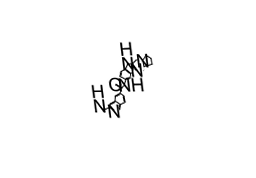 CNCc1cc2cc(C(=O)Nc3ccc4[nH]c(CN5CCC[C@@H]5C)nc4c3)ccc2cn1